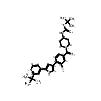 CC(C)(C)OC(=O)NC1CCN(C(=O)c2ccc(-c3csc(-c4ccnc(C(C)(C)C)c4)c3)c(Cl)c2)CC1